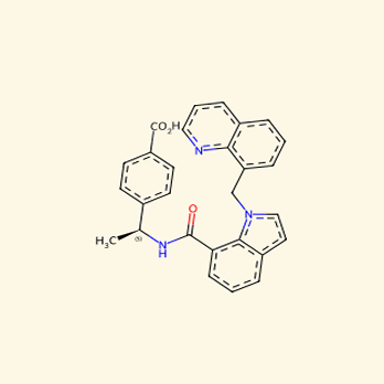 C[C@H](NC(=O)c1cccc2ccn(Cc3cccc4cccnc34)c12)c1ccc(C(=O)O)cc1